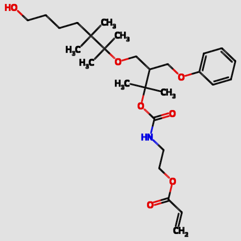 C=CC(=O)OCCNC(=O)OC(C)(C)C(COc1ccccc1)COC(C)(C)C(C)(C)CCCCO